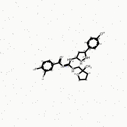 CC1(CN/C(=N/C(=O)c2ccc(F)c(F)c2)NC2CC(c3ccc(Cl)cc3)NN2)CCCO1